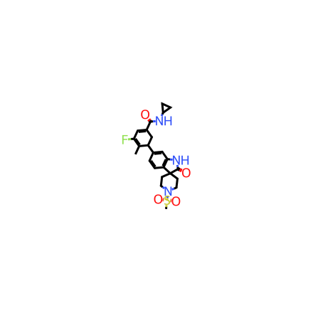 CC1=C(F)C=C(C(=O)NC2CC2)CC1c1ccc2c(c1)NC(=O)C21CCN(S(C)(=O)=O)CC1